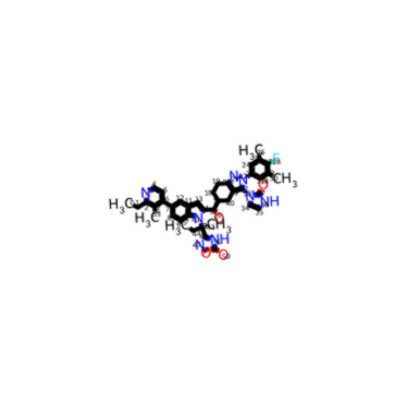 CCc1nccc(-c2ccc3c(c2)cc(C(=O)C2CCc4nn(-c5cc(C)c(F)c(C)c5)c(-n5cc[nH]c5=O)c4C2)n3[C@](C)(CC)c2noc(=O)[nH]2)c1C